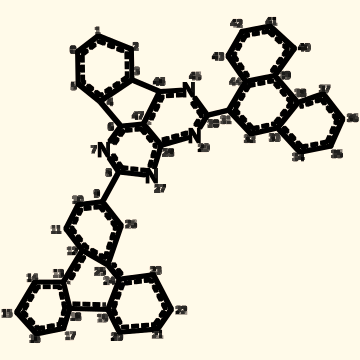 c1ccc2c(c1)-c1nc(-c3ccc4c5ccccc5c5ccccc5c4c3)nc3nc(-c4cc5ccccc5c5ccccc45)nc-2c13